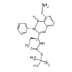 CC[C@H](NC(=O)OC(C)(C)C)c1nc2cccc(CN)c2c(=O)n1-c1ccccc1